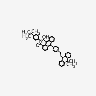 CC(C)(C)c1ccc(N2C(=O)c3cccc4c(-c5ccc(CCC6c7ccccc7C(C)(C)c7ccccc76)cc5)c5ccccc5c(c34)C2O)cc1